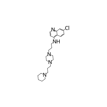 Clc1ccc2c(NCCCN3CCN(CCCN4CCCCC4)CC3)ccnc2c1